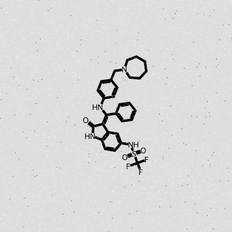 O=C1Nc2ccc(NS(=O)(=O)C(F)(F)F)cc2/C1=C(/Nc1ccc(CN2CCCCCC2)cc1)c1ccccc1